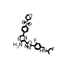 CC(CF)NCc1ccc(-c2nnc(-c3nc(-c4ccc(S(=O)(=O)C5CCOC5)cc4)cnc3N)o2)c(F)c1